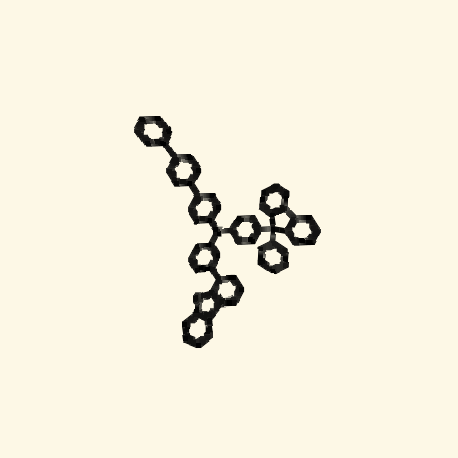 c1ccc(-c2ccc(-c3ccc(N(c4ccc(C5(c6ccccc6)c6ccccc6-c6ccccc65)cc4)c4cccc(-c5cccc6c5oc5ccccc56)c4)cc3)cc2)cc1